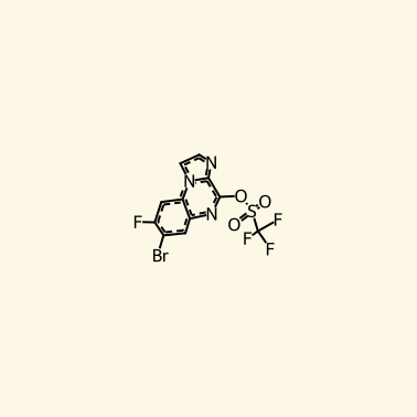 O=S(=O)(Oc1nc2cc(Br)c(F)cc2n2ccnc12)C(F)(F)F